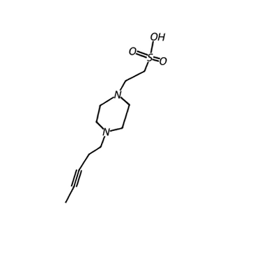 CC#CCCN1CCN(CCS(=O)(=O)O)CC1